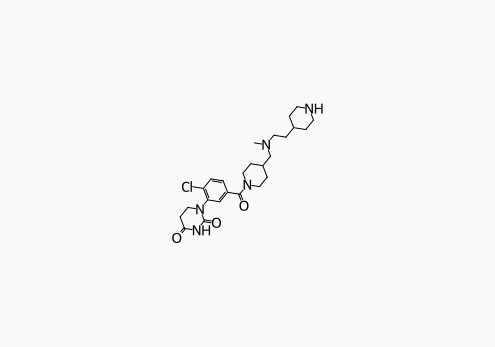 CN(CCC1CCNCC1)CC1CCN(C(=O)c2ccc(Cl)c(N3CCC(=O)NC3=O)c2)CC1